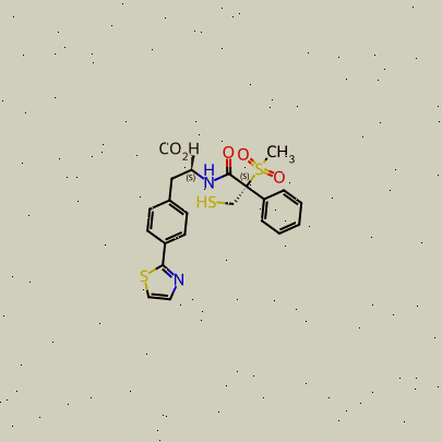 CS(=O)(=O)[C@](CS)(C(=O)N[C@@H](Cc1ccc(-c2nccs2)cc1)C(=O)O)c1ccccc1